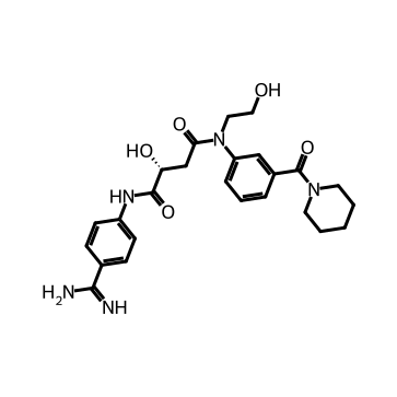 N=C(N)c1ccc(NC(=O)[C@H](O)CC(=O)N(CCO)c2cccc(C(=O)N3CCCCC3)c2)cc1